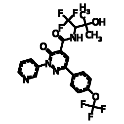 CC(C)(O)C(NC(=O)c1cc(-c2ccc(OC(F)(F)F)cc2)nn(-c2cccnc2)c1=O)C(F)(F)F